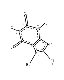 CCn1c(Cl)nc2c1c(=O)n(C)c(=O)n2C